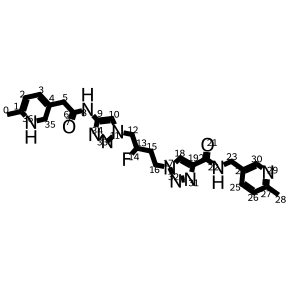 CC1=CC=C(CC(=O)Nc2cn(CC(F)CCn3cc(C(=O)NCc4ccc(C)nc4)nn3)nn2)CN1